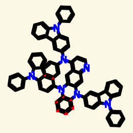 c1ccc(N(c2ccc3c(c2)c2ccccc2n3-c2ccccc2)c2cc3nccc(N(c4ccccc4)c4ccc5c(c4)c4ccccc4n5-c4ccccc4)c3cc2N(c2ccccc2)c2ccc3c(c2)c2ccccc2n3-c2ccccc2)cc1